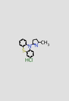 CC1CCC(N2c3ccccc3Sc3ccccc32)=N1.Cl